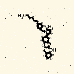 CCCCCCc1ccc(Cn2c(C)ccc2-c2ccc(O[C@H](Cc3ccccc3)C(=O)O)cc2)cc1